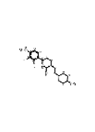 CCCC1CCC(CCC2CCC(c3ccc(OC)c(F)c3F)OC2=O)CC1